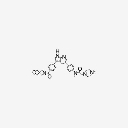 CN1CCN(CC(=O)N(C)c2ccc(-c3cnc4[nH]cc(-c5ccc(C(=O)N6CC7(COC7)C6)cc5)c4c3)cc2)CC1